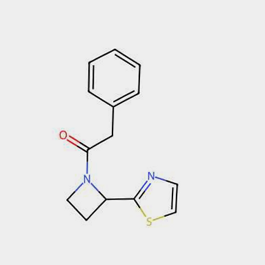 O=C(Cc1ccccc1)N1CCC1c1nccs1